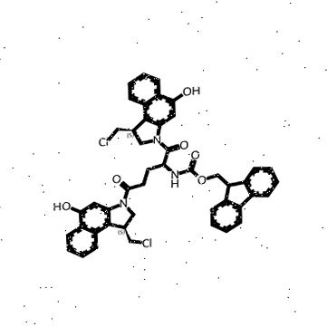 O=C(NC(CCC(=O)N1C[C@@H](CCl)c2c1cc(O)c1ccccc21)C(=O)N1C[C@@H](CCl)c2c1cc(O)c1ccccc21)OCC1c2ccccc2-c2ccccc21